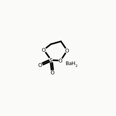 O=S1(=O)OCCOO1.[BaH2]